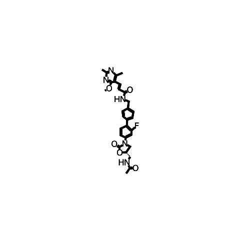 COc1nc(C)nc(C)c1/C=C/C(=O)NCc1ccc(-c2ccc(N3C[C@H](CNC(C)=O)OC3=O)cc2F)cc1